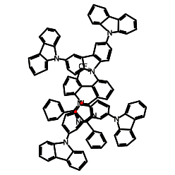 FC(F)(F)c1cccc(-n2c3ccc(-n4c5ccccc5c5ccccc54)cc3c3cc(-n4c5ccccc5c5ccccc54)ccc32)c1-c1c(-c2nc(-c3ccccc3)nc(-c3ccccc3)n2)cccc1-n1c2ccc(-n3c4ccccc4c4ccccc43)cc2c2cc(-n3c4ccccc4c4ccccc43)ccc21